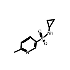 Cc1ccc(S(=O)(=O)NC2CC2)cn1